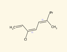 C=C/C(Cl)=C\C=C(/C)C(C)C